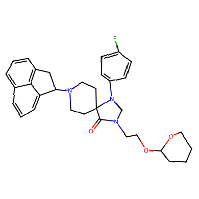 O=C1N(CCOC2CCCCO2)CN(c2ccc(F)cc2)C12CCN(C1Cc3cccc4cccc1c34)CC2